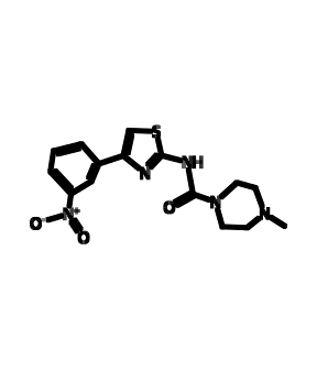 CN1CCN(C(=O)Nc2nc(-c3cccc([N+](=O)[O-])c3)cs2)CC1